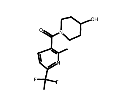 Cc1nc(C(F)(F)F)ccc1C(=O)N1CCC(O)CC1